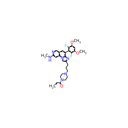 C=CC(=O)N1CCN(CCCc2cn3c(n2)c(-c2c(F)c(OC)cc(OC)c2F)cc2cnc(NC)cc23)CC1